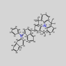 CC1(C)c2cccc3c2N2c4c1cccc4C(C)(C)c1cc(-c4ccc(N(c5ccccc5)c5ccc6ccccc6c5)c5ccccc45)cc(c12)C3(C)C